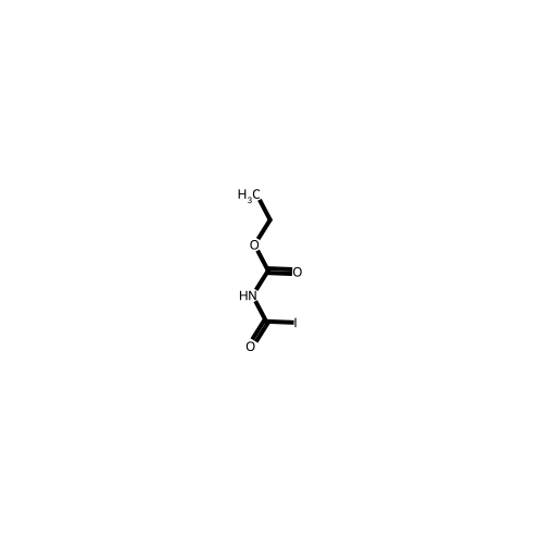 CCOC(=O)NC(=O)I